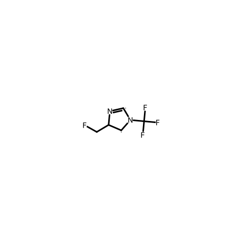 FCC1[CH]N(C(F)(F)F)[C]=N1